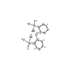 FC(F)(Br)c1ccccc1Oc1ccccc1C(F)(F)Br